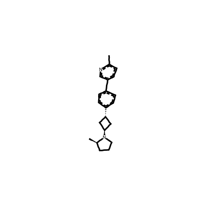 Cc1ccc(-c2ccc([C@H]3C[C@H](N4CCC[C@H]4C)C3)cc2)cn1